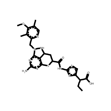 CCC(C(=O)O)c1csc(NC(=O)C2CC3NN(Cc4ncc(C)c(OC)c4C)c4nc(N)nc(c43)S2)n1